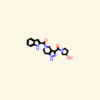 O=C(c1cc2ccccc2[nH]1)N1CCc2[nH]nc(C(=O)N3CC[C@@H](O)C3)c2C1